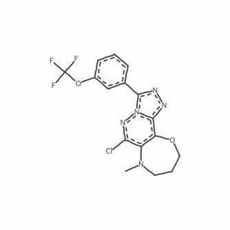 CN1CCCOc2c1c(Cl)nn1c(-c3cccc(OC(F)(F)F)c3)nnc21